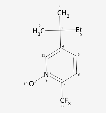 CCC(C)(C)c1ccc(C(F)(F)F)[n+]([O-])c1